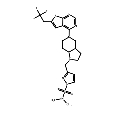 CN(C)S(=O)(=O)n1ccc(CN2CCC3CN(c4ncnc5sc(CC(F)(F)F)cc45)CCC32)n1